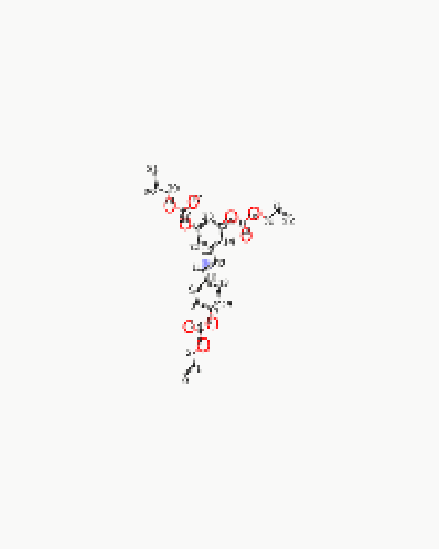 C=CCOC(=O)Oc1ccc(/C=C/c2cc(OC(=O)OCC=C)cc(OC(=O)OCC=C)c2)cc1